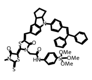 CO[Si](OC)(OC)c1ccc(NC(=O)Cn2c(=O)/c(=C\c3ccc4c(c3)C3CCCC3N4c3ccc(C=C(c4ccccc4)c4ccccc4)cc3)s/c2=C2/SC(=S)N(C)C2=O)cc1